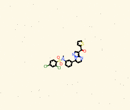 CN(c1cccc(-c2ccnc3c(C(=O)c4cccs4)cnn23)c1)S(=O)(=O)c1ccc(Cl)cc1Cl